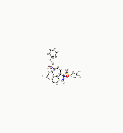 CC(C)=C[C@@H]1c2cccc3c2[C@@](N[S@@+]([O-])CC[Si](C)(C)C)(CCN1C(=O)OCc1ccccc1)C(=O)N3C